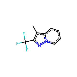 Cc1c(C(F)(F)F)nn2ccccc12